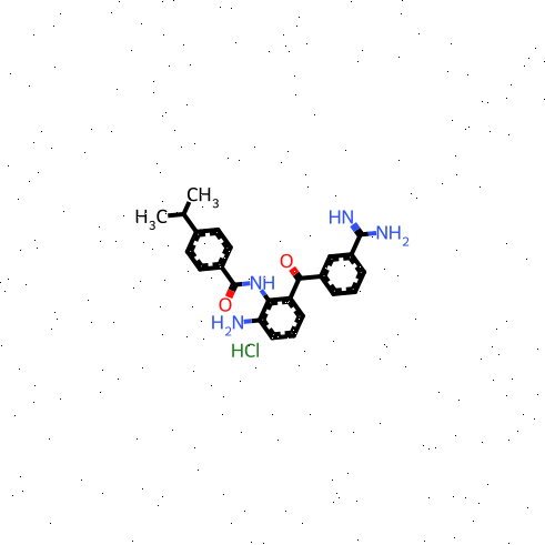 CC(C)c1ccc(C(=O)Nc2c(N)cccc2C(=O)c2cccc(C(=N)N)c2)cc1.Cl